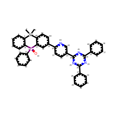 C[Si]1(C)c2ccccc2P(=O)(c2ccccc2)c2cc(-c3ccc(-c4nc(-c5ccccc5)nc(-c5ccccc5)n4)cn3)ccc21